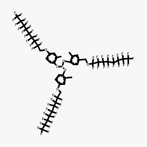 Cc1cc(COC(F)(F)C(F)(F)C(F)(F)C(F)(F)C(F)(F)C(F)(F)C(F)(F)C(F)(F)F)ccc1OP(Oc1ccc(OCC(F)(F)C(F)(F)C(F)(F)C(F)(F)C(F)(F)C(F)(F)C(F)(F)C(F)(F)F)cc1C)Oc1ccc(OCC(F)(F)C(F)(F)C(F)(F)C(F)(F)C(F)(F)C(F)(F)C(F)(F)C(F)(F)F)cc1C